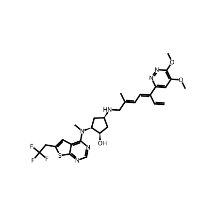 C=C/C(=C\C=C(/C)CN[C@H]1C[C@@H](O)[C@@H](N(C)c2ncnc3sc(CC(F)(F)F)cc23)C1)c1cc(OC)c(OC)nn1